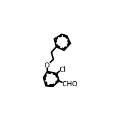 O=Cc1cccc(OCCc2ccccc2)c1Cl